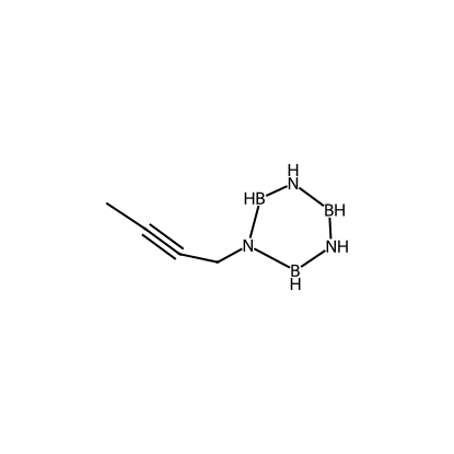 CC#CCN1BNBNB1